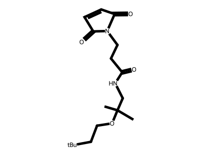 CC(C)(C)CCOC(C)(C)CNC(=O)CCN1C(=O)C=CC1=O